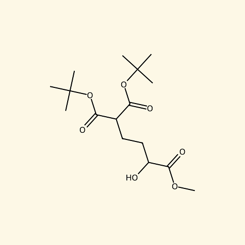 COC(=O)C(O)CCC(C(=O)OC(C)(C)C)C(=O)OC(C)(C)C